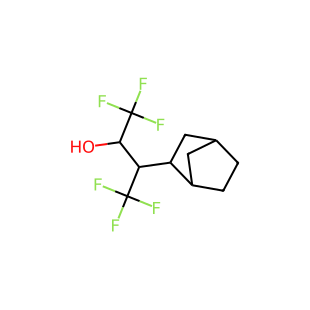 OC(C(C1CC2CCC1C2)C(F)(F)F)C(F)(F)F